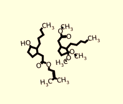 CCCCCC1C(CC(=O)OC)CCC1(OC)OC.CCCCCC1C(O)CCC1CC(=O)OCC=C(C)C